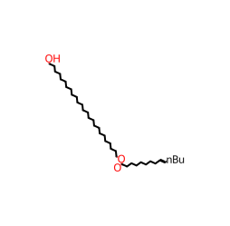 CCCCC=CCCCCCCCC(=O)OCCCCCCCCCCCCCCCCCCCCCCCCCO